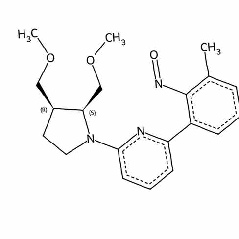 COC[C@@H]1CCN(c2cccc(-c3cccc(C)c3N=O)n2)[C@@H]1COC